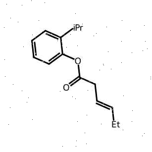 CCC=CCC(=O)Oc1ccccc1C(C)C